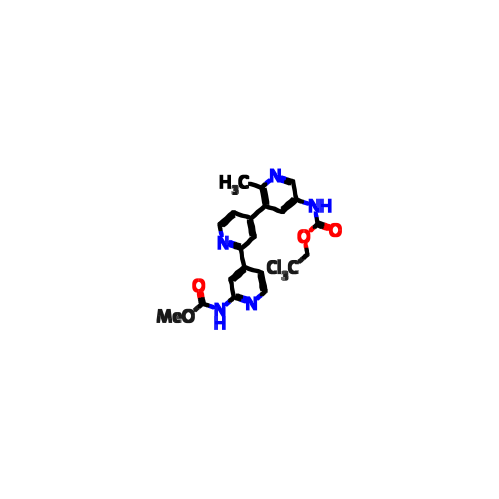 COC(=O)Nc1cc(-c2cc(-c3cc(NC(=O)OCC(Cl)(Cl)Cl)cnc3C)ccn2)ccn1